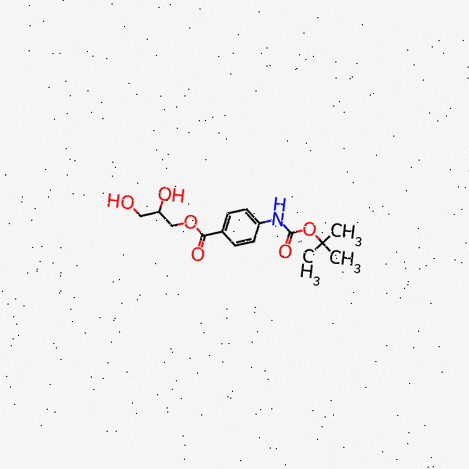 CC(C)(C)OC(=O)Nc1ccc(C(=O)OCC(O)CO)cc1